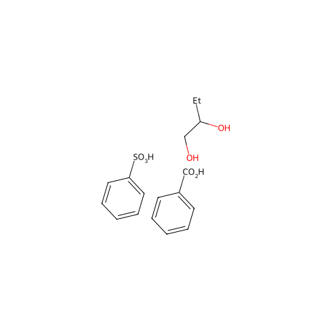 CCC(O)CO.O=C(O)c1ccccc1.O=S(=O)(O)c1ccccc1